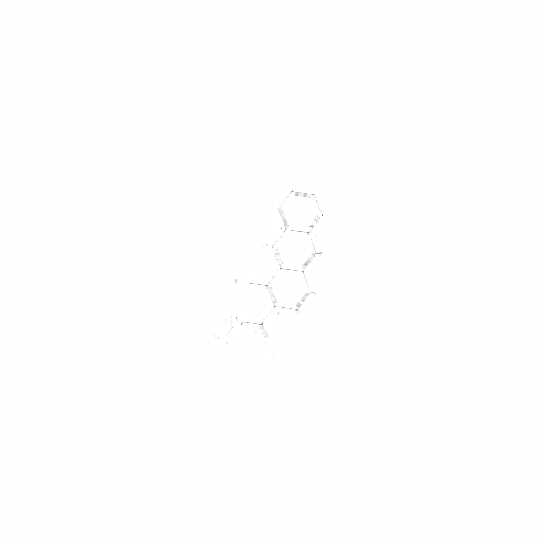 CCC(C)NC(=O)c1ccc2cc3ccccc3cc2c1[O]